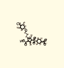 Cc1cc(OCCCn2c(C)c(S(=O)(=O)c3ccc([N+](=O)[O-])cc3)c(C)c2C(=O)O)cc(C)c1Cl